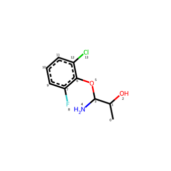 CC(O)C(N)Oc1c(F)cccc1Cl